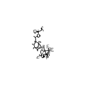 C=CC(=O)OCC1CC2CC(CC(OC(C)=O)(C(F)(F)F)C(F)(F)F)C1C2